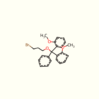 COc1ccccc1C(OCCCBr)(c1ccccc1)c1ccccc1OC